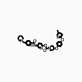 Cc1ccc(Oc2ccc(OC3CCN(C(=O)Oc4ccc(NC(=O)c5ccc(CN6CCCCC6)cc5)cn4)CC3)cc2)nc1